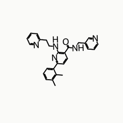 Cc1cccc(-c2ccc(C(=O)NCc3cccnc3)c(NCCc3ccccn3)n2)c1C